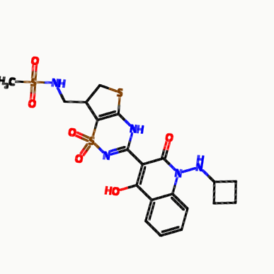 CS(=O)(=O)NCC1CSC2=C1S(=O)(=O)N=C(c1c(O)c3ccccc3n(NC3CCC3)c1=O)N2